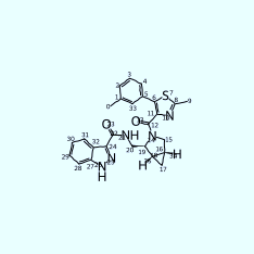 Cc1cccc(-c2sc(C)nc2C(=O)N2C[C@@H]3C[C@@H]3[C@H]2CNC(=O)c2n[nH]c3ccccc23)c1